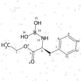 CCOC(=O)[C@H](Cc1ccccc1)NB(O)O